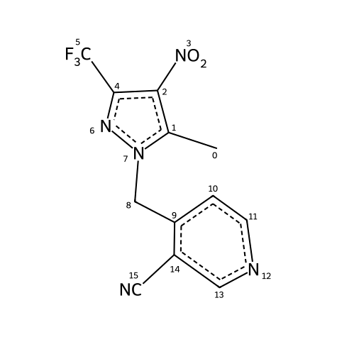 Cc1c([N+](=O)[O-])c(C(F)(F)F)nn1Cc1ccncc1C#N